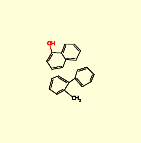 Cc1ccccc1-c1ccccc1.Oc1cccc2ccccc12